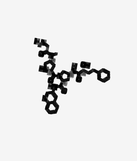 CN(C(=O)CN)[C@H]1CN[C@H](C(=O)N2C[C@H](NC(=O)[C@H](O)CCc3ccccc3)C[C@H]2C(=O)Nc2cnc3ccccc3c2)C1